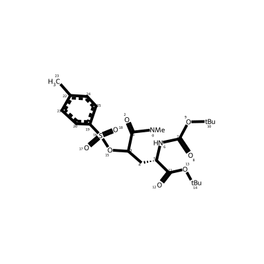 CNC(=O)C(C[C@H](NC(=O)OC(C)(C)C)C(=O)OC(C)(C)C)OS(=O)(=O)c1ccc(C)cc1